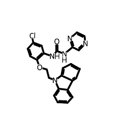 O=C(Nc1cnccn1)Nc1cc(Cl)ccc1OCCn1c2ccccc2c2ccccc21